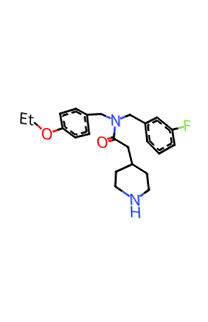 CCOc1ccc(CN(Cc2cccc(F)c2)C(=O)CC2CCNCC2)cc1